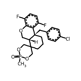 CP1(=O)OCC2(CCC[C@@]3(Cc4ccc(Cl)cc4)c4c(F)ccc(F)c4OC[C@@H]23)CO1